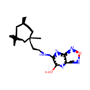 C=C1CC(C)(C)CC(C)(CCNc2nc3nonc3nc2O)C1